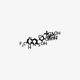 CCC(C)(C[C@H]1O[C@@H](c2cc3ncc(C(F)(F)F)[nH]c-3nc2=S)[C@@H](O)C1O)OP(=O)(O)C(C)(O)CC